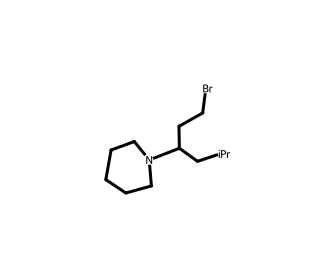 CC(C)CC(CCBr)N1CCCCC1